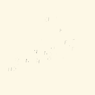 C/C(=C\c1ccc2c(c1)N(S(=O)(=O)c1cccc(C(F)(F)F)c1)C[C@@H]1CN(CC(=O)O)CCN21)c1c(F)cccc1Cl